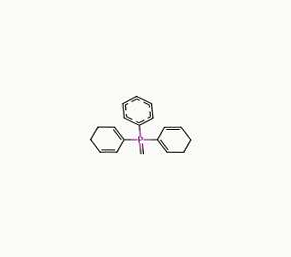 C=P(C1=CCCC=C1)(C1=CCCC=C1)c1ccccc1